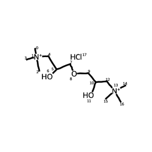 C[N+](C)(C)CC(O)COCC(O)C[N+](C)(C)C.Cl